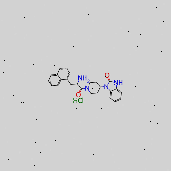 Cl.NC(Cc1cccc2ccccc12)C(=O)N1CCC(n2c(=O)[nH]c3ccccc32)CC1